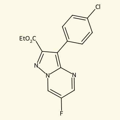 CCOC(=O)c1nn2cc(F)cnc2c1-c1ccc(Cl)cc1